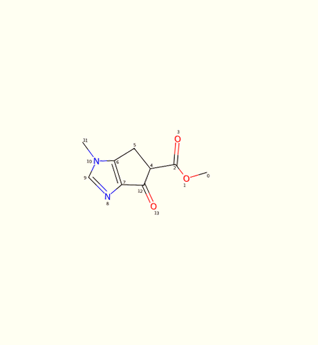 COC(=O)C1Cc2c(ncn2C)C1=O